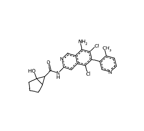 Cc1ccncc1-c1c(Cl)c(N)c2cnc(NC(=O)C3C4CCCC43O)cc2c1Cl